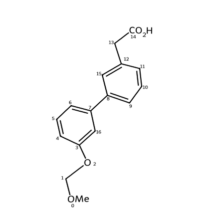 COCOc1cccc(-c2cccc(CC(=O)O)c2)c1